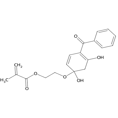 C=C(C)C(=O)OCCOC1(O)C=CC(C(=O)c2ccccc2)=C(O)C1